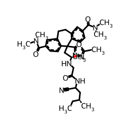 CC[C@H](C)CC(C#N)NC(=O)CN[C@@H](C)CC1(c2nnc(C)o2)c2ccc(C(=O)N(C)C)cc2CCc2cc(C(=O)N(C)C)ccc21